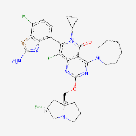 Nc1nc2c(-c3c(F)c4nc(OC[C@@]56CCCN5C[C@H](F)C6)nc(N5CCCCCC5)c4c(=O)n3C3CC3)ccc(F)c2s1